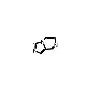 [c]1ncc2cnccn12